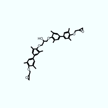 Cc1cc(-c2cc(C)c(OCC3CO3)c(C)c2)cc(C)c1OCC(O)COc1c(C)cc(-c2cc(C)c(OCC3CO3)c(C)c2)cc1C